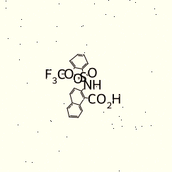 O=C(O)c1c(NS(=O)(=O)c2ccccc2OC(F)(F)F)ccc2ccccc12